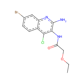 CCOCC(=O)Nc1c(N)nc2cc(Br)ccc2c1Cl